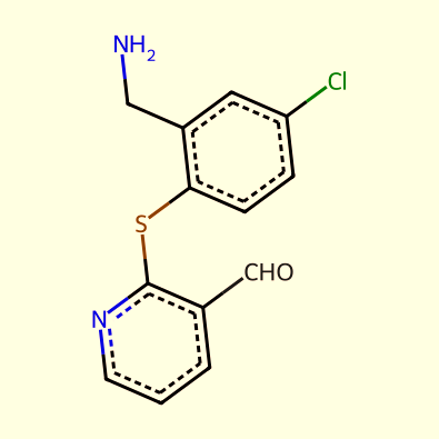 NCc1cc(Cl)ccc1Sc1ncccc1C=O